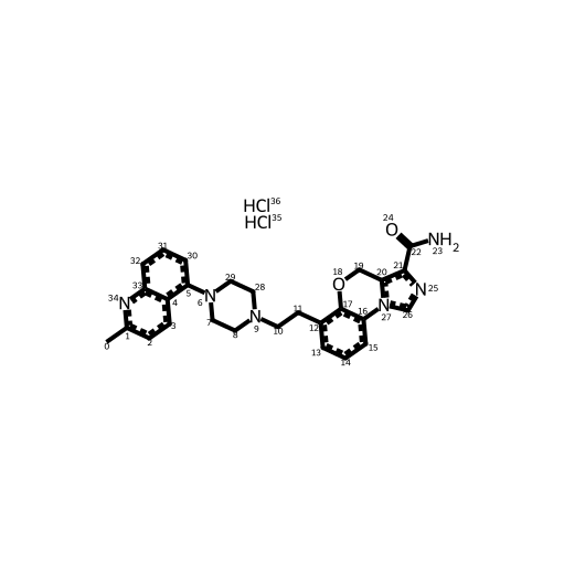 Cc1ccc2c(N3CCN(CCc4cccc5c4OCc4c(C(N)=O)ncn4-5)CC3)cccc2n1.Cl.Cl